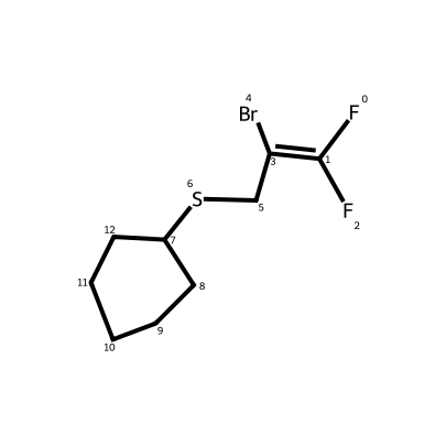 FC(F)=C(Br)CSC1CCCCC1